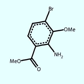 COC(=O)c1ccc(Br)c(OC)c1N